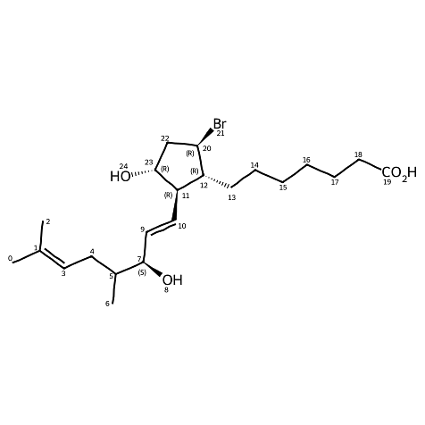 CC(C)=CCC(C)[C@H](O)C=C[C@@H]1[C@@H](CCCCCCC(=O)O)[C@H](Br)C[C@H]1O